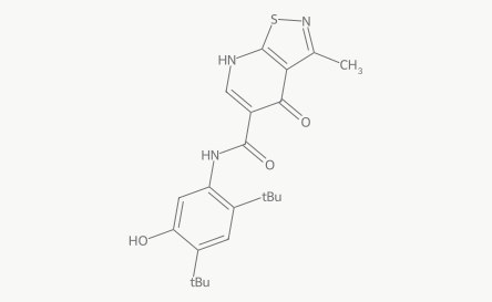 Cc1nsc2[nH]cc(C(=O)Nc3cc(O)c(C(C)(C)C)cc3C(C)(C)C)c(=O)c12